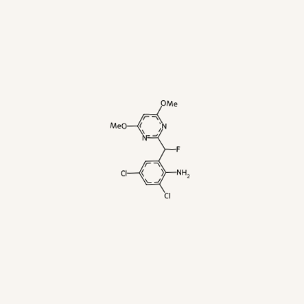 COc1cc(OC)nc(C(F)c2cc(Cl)cc(Cl)c2N)n1